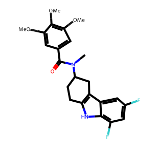 COc1cc(C(=O)N(C)C2CCc3[nH]c4c(F)cc(F)cc4c3C2)cc(OC)c1OC